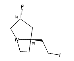 F[C@H]1CN2CC[C@@]2(CCI)C1